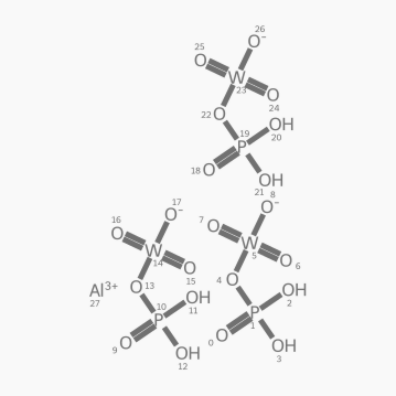 O=P(O)(O)[O][W](=[O])(=[O])[O-].O=P(O)(O)[O][W](=[O])(=[O])[O-].O=P(O)(O)[O][W](=[O])(=[O])[O-].[Al+3]